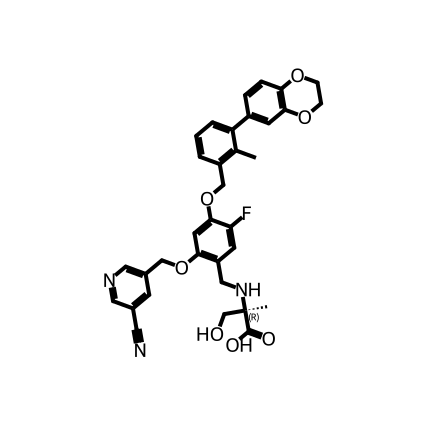 Cc1c(COc2cc(OCc3cncc(C#N)c3)c(CN[C@](C)(CO)C(=O)O)cc2F)cccc1-c1ccc2c(c1)OCCO2